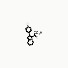 O=C(O)C(=O)c1c(-c2ccc(Cl)cc2)cc2ccccn12